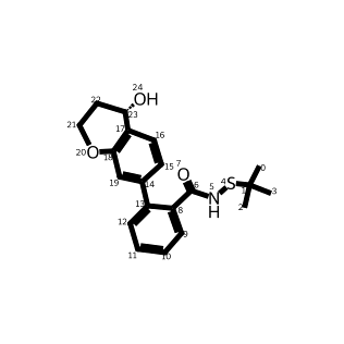 CC(C)(C)SNC(=O)c1ccccc1-c1ccc2c(c1)OCC[C@@H]2O